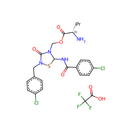 CC(C)[C@H](N)C(=O)OCN1C(=O)N(Cc2ccc(Cl)cc2)SC1NC(=O)c1ccc(Cl)cc1.O=C(O)C(F)(F)F